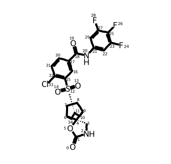 O=C1NC[C@]2(O1)C1CCC2C[C@@H](S(=O)(=O)c2cc(C(=O)Nc3cc(F)c(F)c(F)c3)ccc2Cl)C1